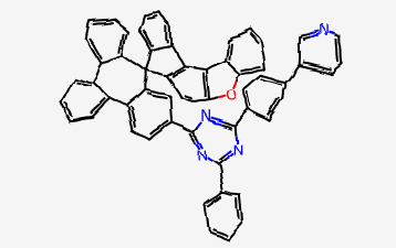 c1ccc(-c2nc(-c3ccc(-c4cccnc4)cc3)nc(-c3ccc4c(c3)C3(c5ccccc5-c5ccccc5-4)c4ccccc4-c4c3ccc3oc5ccccc5c43)n2)cc1